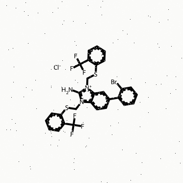 Nc1n(CSc2ccccc2C(F)(F)F)c2ccc(-c3ccccc3Br)cc2[n+]1CSc1ccccc1C(F)(F)F.[Cl-]